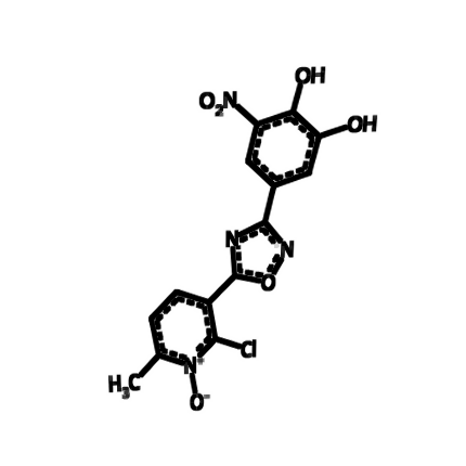 Cc1ccc(-c2nc(-c3cc(O)c(O)c([N+](=O)[O-])c3)no2)c(Cl)[n+]1[O-]